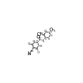 COc1ccc(CC(=O)c2cc(C)c(C#N)c(C)c2)c(Cl)c1